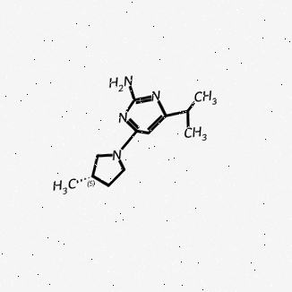 CC(C)c1cc(N2CC[C@H](C)C2)nc(N)n1